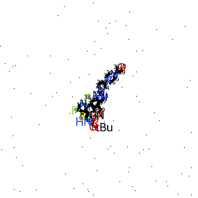 CC(C)(C)OC(=O)Nc1sc2c(F)cnc(-c3c4c(c5cnc(N6CC[C@@H](N7CCN(C8COC8)CC7)C6)nc5c3F)COC4)c2c1C#N